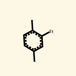 [CH2]c1ccc([CH2])c(CC)c1